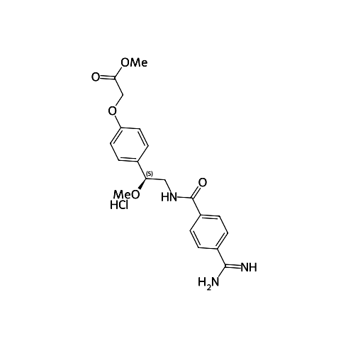 COC(=O)COc1ccc([C@@H](CNC(=O)c2ccc(C(=N)N)cc2)OC)cc1.Cl